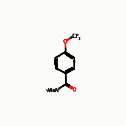 C[N]C(=O)c1ccc(OC(F)(F)F)cc1